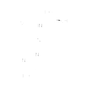 CSc1ncc2cc(Br)c(NC[C@H](C)O)nc2n1